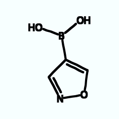 OB(O)c1cnoc1